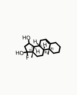 C[C@]12CCCCC1=CC[C@@H]1[C@H]2CC[C@@]2(C)[C@H]1C(O)CC2(O)F